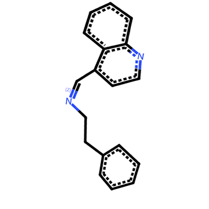 C(=N/CCc1ccccc1)/c1ccnc2ccccc12